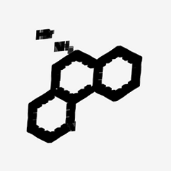 Br.N.c1ccc2c(c1)ccc1cccnc12